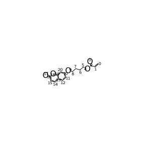 C=CC(=O)OCCCCOc1ccc2ccc(=O)oc2c1